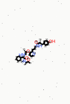 CC(=O)[C@@H](C)N(C)C(=O)[C@@H](NC[C@@H](C)Oc1cccnc1CCCNC(=O)[C@H](C)Cc1ccc(O)cc1)C1CCCCC1